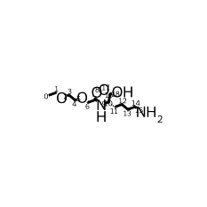 CCOCCOCC(=O)N[C@@H](CCCCN)C(=O)O